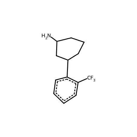 NC1CCCC(c2ccccc2C(F)(F)F)C1